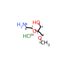 COCC(CO)OCCN.Cl